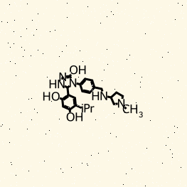 CC(C)c1cc(C2NN=C(O)N2c2ccc(CNC3CCN(C)C3)cc2)c(O)cc1O